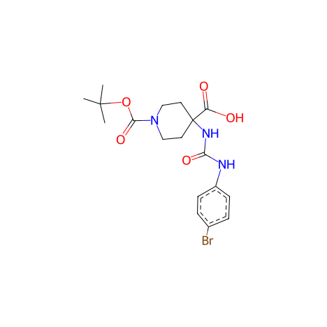 CC(C)(C)OC(=O)N1CCC(NC(=O)Nc2ccc(Br)cc2)(C(=O)O)CC1